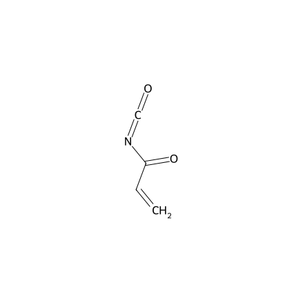 C=CC(=O)N=C=O